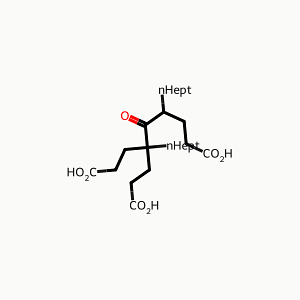 CCCCCCCC(CCC(=O)O)C(=O)C(CCCCCCC)(CCC(=O)O)CCC(=O)O